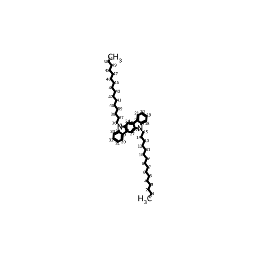 CCCCCCCCCCCCCCCCn1c2ccccc2c2cc3c(cc21)c1ccccc1n3CCCCCCCCCCCCCCCC